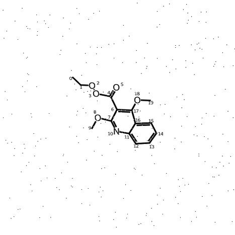 CCOOC(=O)c1c(OC)nc2ccccc2c1OC